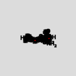 Cc1c(-c2ccc(N3CCc4cccc(C(=O)Nc5nc6ccccc6s5)c4C3)nc2C(=O)O)cnn1CC12CC3(C)CC(C)(C1)CC(OCCN(CCC(=O)O)C(=O)OCc1ccc(N(C(N)=O)C(=O)[C@H](CCCN)NC(=O)[C@@H](NC(=O)[C@H](CS(=O)(=O)O)NC(=O)CCCCCN4C(=O)C=CC4=O)C(C)C)cc1)(C3)C2